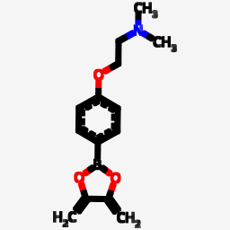 C=C1OB(c2ccc(OCCN(C)C)cc2)OC1=C